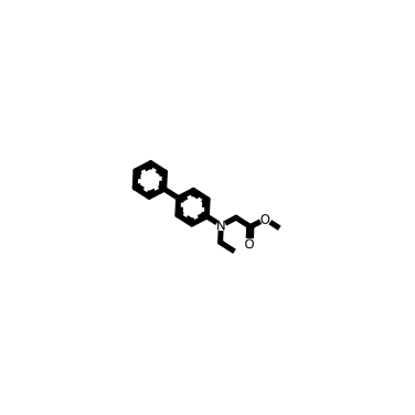 CCN(CC(=O)OC)c1ccc(-c2ccccc2)cc1